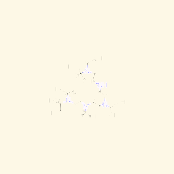 CC(C)N(CCNCCN(C(C)C)C(C)(C)C)CCN(CCN(C(C)C)C(C)C)C(C)C